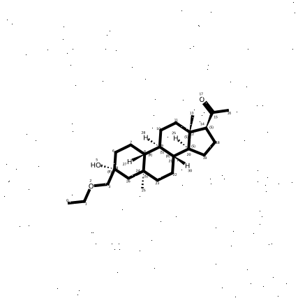 CCOC[C@@]1(O)CC[C@@H]2[C@H]3CC[C@]4(C)[C@@H](C(C)=O)CC[C@H]4[C@@H]3CC[C@@]2(C)C1